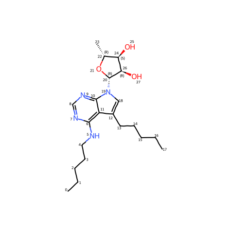 CCCCCNc1ncnc2c1c(CCCCC)cn2[C@@H]1O[C@H](C)[C@@H](O)[C@H]1O